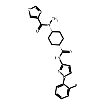 CN(C(=O)c1cocn1)[C@H]1CC[C@@H](C(=O)Nc2ccn(-c3ccccc3F)n2)CC1